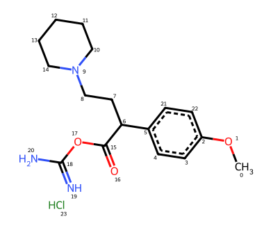 COc1ccc(C(CCN2CCCCC2)C(=O)OC(=N)N)cc1.Cl